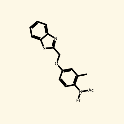 CCN(C(C)=O)c1ccc(OCc2nc3ccccc3s2)cc1C